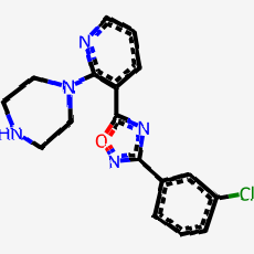 Clc1cccc(-c2noc(-c3cccnc3N3CCNCC3)n2)c1